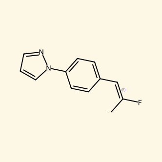 [CH2]/C(F)=C\c1ccc(-n2cccn2)cc1